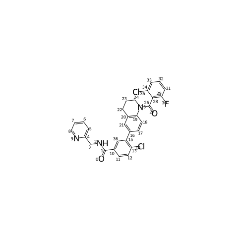 O=C(NCc1ccccn1)c1ccc(Cl)c(-c2ccc3c(c2)CCCN3C(=O)c2c(F)cccc2Cl)c1